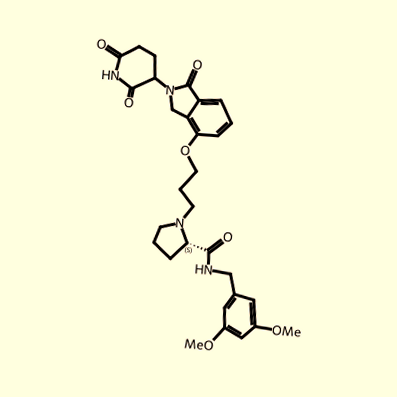 COc1cc(CNC(=O)[C@@H]2CCCN2CCCOc2cccc3c2CN(C2CCC(=O)NC2=O)C3=O)cc(OC)c1